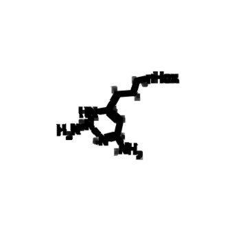 CCCCCCCCCC1=CC(N)=NN(N)N1